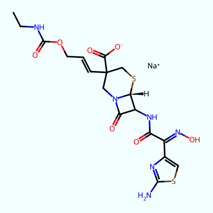 CCNC(=O)OCC=CC1(C(=O)[O-])CS[C@@H]2C(NC(=O)C(=NO)c3csc(N)n3)C(=O)N2C1.[Na+]